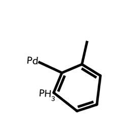 Cc1cccc[c]1[Pd].P